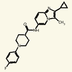 Cc1c(C2CC2)nc2ccc(NC(=O)C3CCN(c4ccc(F)cc4)CC3)cn12